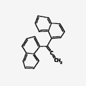 C=C=C(c1cccc2ccccc12)c1cccc2ccccc12